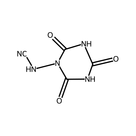 N#CNn1c(=O)[nH]c(=O)[nH]c1=O